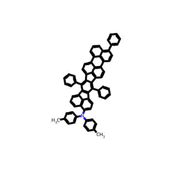 Cc1ccc(N(c2ccc(C)cc2)c2ccc3c4c(-c5ccccc5)c5c6ccc7c8ccc(-c9ccccc9)c9cccc(c%10ccc(c5c(-c5ccccc5)c4c4cccc2c43)c6c%107)c98)cc1